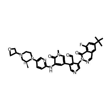 C[C@H]1CN(C2COC2)CCN1c1ccc(Nc2cc(-c3cncc(-n4ncc5cc(C(C)(C)C)cc(F)c5c4=O)c3C=O)cn(C)c2=O)nc1